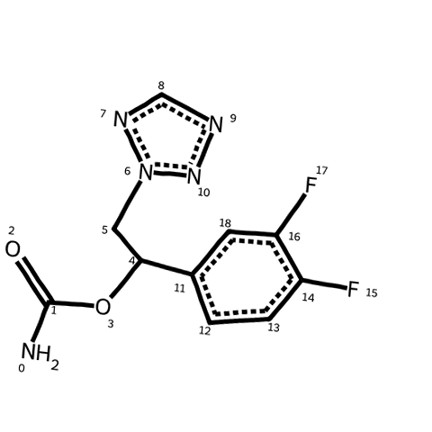 NC(=O)OC(Cn1ncnn1)c1ccc(F)c(F)c1